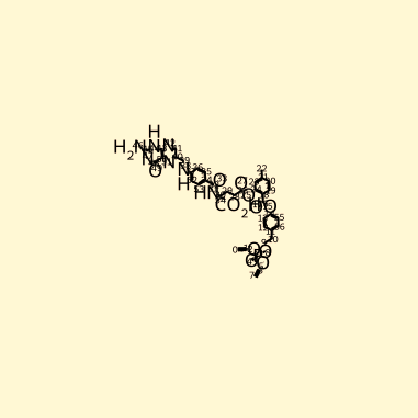 C#COP(=O)(OC#C)OCCc1ccc(OC(=O)c2ccc(C)cc2OC(=O)CC[C@H](NC(=O)c2ccc(NCc3cnc4[nH]c(N)nc(=O)c4n3)cc2)C(=O)O)cc1